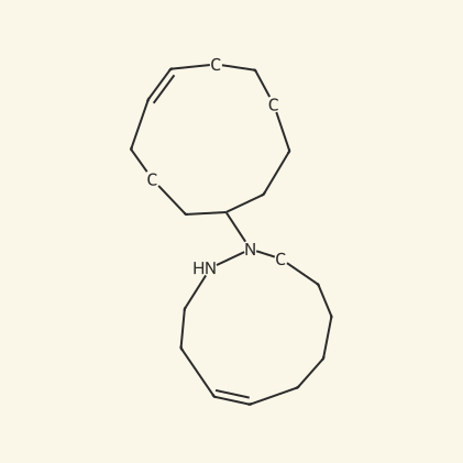 C1=C\CCCC(N2CCCCC/C=C\CCN2)CCCCC/1